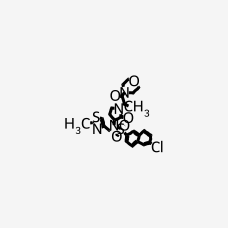 Cc1nc(CN(C2CCN(C(C)C(=O)N3CCOCC3)C2=O)S(=O)(=O)c2ccc3cc(Cl)ccc3c2)cs1